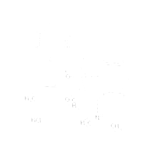 CCC(=O)O[C@@](Cc1ccccc1)(c1ccccc1)[C@@H](C)CN(C)C.Cl